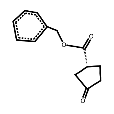 O=C1CC[C@@H](C(=O)OCc2ccccc2)C1